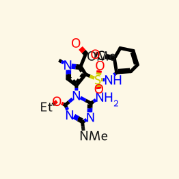 CCOC1N=C(NC)N=C(N)N1c1cn(C)c(C(=O)OC)c1S(=O)(=O)NC1=CC=CCC1=C=O